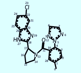 Cc1ccc(-n2nccn2)c(C(=O)N2CCCC2c2nc3cc(Cl)ccc3[nH]2)c1